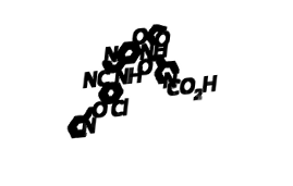 N#Cc1cnc2cc(OC3CCOC3)c(NC(=O)C=C3CCN(C(=O)O)CC3)cc2c1Nc1ccc(OCc2ccccn2)c(Cl)c1